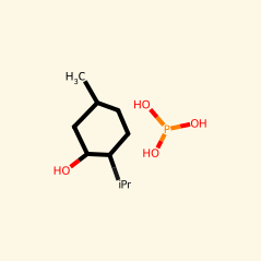 CC1CCC(C(C)C)C(O)C1.OP(O)O